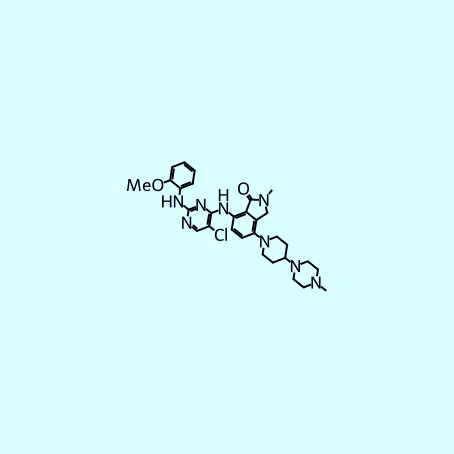 COc1ccccc1Nc1ncc(Cl)c(Nc2ccc(N3CCC(N4CCN(C)CC4)CC3)c3c2C(=O)N(C)C3)n1